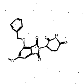 COc1cc(OCc2ccccc2)c2c(c1)C(=O)N(C1CCC(=O)NC1=O)C2=O